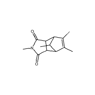 CC1=C(C)C2C(C)C1C1C(=O)N(C)C(=O)C21